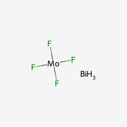 [BiH3].[F][Mo]([F])([F])[F]